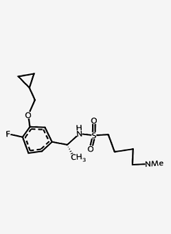 CNCCCCS(=O)(=O)N[C@H](C)c1ccc(F)c(OCC2CC2)c1